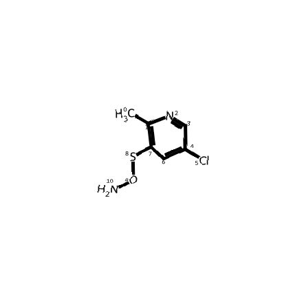 Cc1ncc(Cl)cc1SON